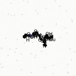 Cc1ncsc1-c1ccc(CNC(=O)[C@@H]2C[C@@H](O)CN2C(=O)[C@@H](NC(=O)C2(F)CC2)C(C)(C)C)c(OCC(=O)NCC(=O)NCCN(C)C(=O)c2ccc(/C(O)=C/C(=N)C(=O)NC3CCc4ccccc43)cc2O)c1